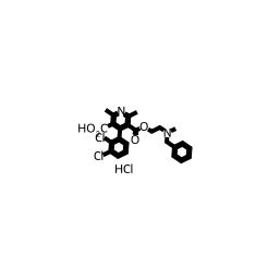 Cc1nc(C)c(C(=O)OCCN(C)Cc2ccccc2)c(-c2cccc(Cl)c2Cl)c1C(=O)O.Cl